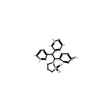 O=S1(=O)CCCN1C(c1ccc(F)cc1)C(c1cccnc1)c1cccnc1